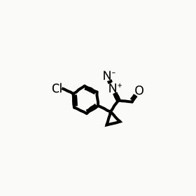 [N-]=[N+]=C(C=O)C1(c2ccc(Cl)cc2)CC1